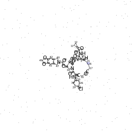 O=C1N[C@]2(C(=O)NS(=O)(=O)C3CC3)C[C@H]2/C=C\CCCCC[C@H](Nc2ccc(Cl)cc2)C(=O)N2C[C@H](OC(=O)N3Cc4cc5c(cc4C3)OCO5)C[C@@H]12